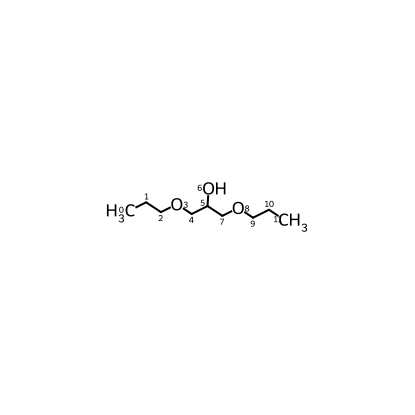 CCCOCC(O)COCCC